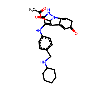 O=C1C=C2C(=CC1)N1NC(=O)C(Nc3ccc(CNC4CCCCC4)cc3)=C2C1OC(=O)C(F)(F)F